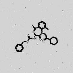 CC1=N[C@H](NC(=O)OCc2ccccc2)C(=O)N(CC(=O)C2CCCCC2)c2c(C)cccc21